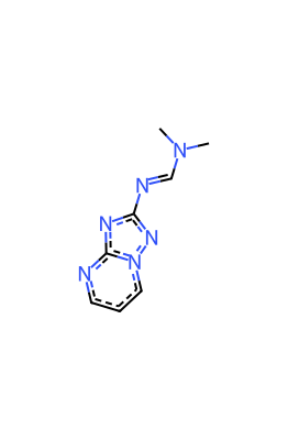 CN(C)C=Nc1nc2ncccn2n1